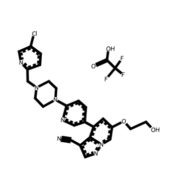 N#Cc1cnn2cc(OCCO)cc(-c3ccc(N4CCN(Cc5ccc(Cl)cn5)CC4)nc3)c12.O=C(O)C(F)(F)F